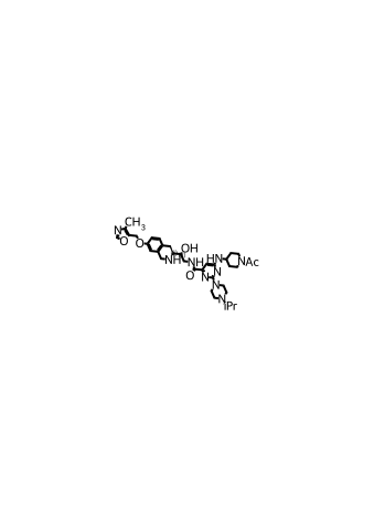 CC(=O)N1CCC(Nc2cc(C(=O)NC[C@@H](O)[C@@H]3Cc4ccc(OCc5ocnc5C)cc4CN3)nc(N3CCN(C(C)C)CC3)n2)CC1